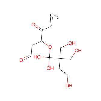 C=CC(=O)C(CC=O)OC(O)(O)C(CO)(CO)CCO